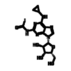 O=C(I)Nc1nc(NC2CC2)c2ncn([C@@H]3O[C@H](CO)[C@@H](O)[C@H]3O)c2n1